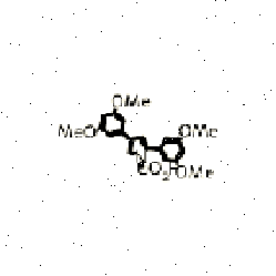 COc1cc(OC)cc(-c2cc(-c3cc(OC)cc(OC)c3)n(C(=O)O)c2)c1